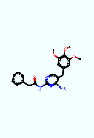 COc1cc(Cc2cnc(NC(=O)Cc3ccccc3)nc2N)cc(OC)c1OC